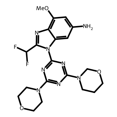 COc1cc(N)cc2c1nc(C(F)F)n2-c1nc(N2CCOCC2)nc(N2CCCOC2)n1